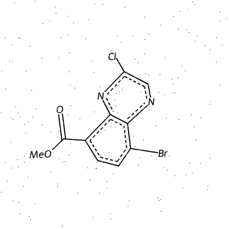 COC(=O)c1ccc(Br)c2ncc(Cl)nc12